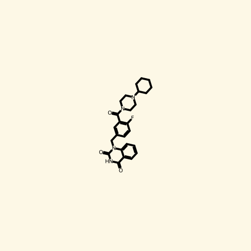 O=C(c1cc(Cn2c(=O)[nH]c(=O)c3ccccc32)ccc1F)N1CCN(C2CCCCC2)CC1